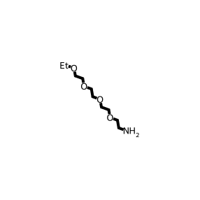 CCOCCOCCOCCOCCN